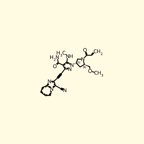 C=CC(=O)N1C[C@@H](n2nc(C#Cc3nc4ccccn4c3C#N)c(C(N)=O)c2NC)C[C@@H]1COC